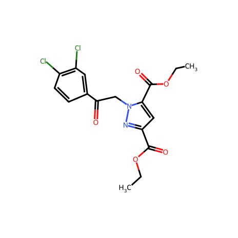 CCOC(=O)c1cc(C(=O)OCC)n(CC(=O)c2ccc(Cl)c(Cl)c2)n1